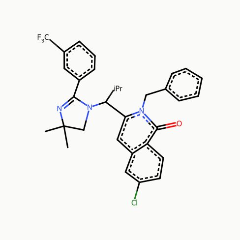 CC(C)C(c1cc2cc(Cl)ccc2c(=O)n1Cc1ccccc1)N1CC(C)(C)N=C1c1cccc(C(F)(F)F)c1